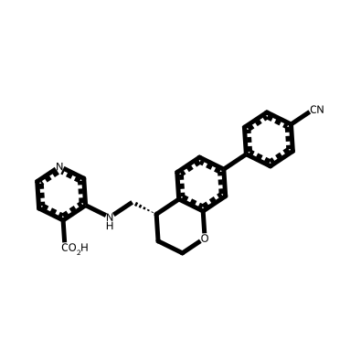 N#Cc1ccc(-c2ccc3c(c2)OCC[C@@H]3CNc2cnccc2C(=O)O)cc1